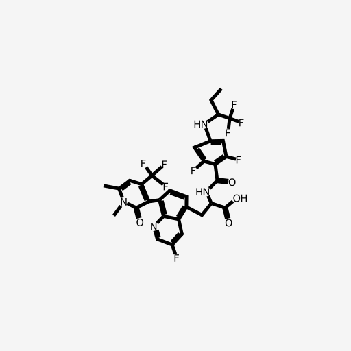 CCC(Nc1cc(F)c(C(=O)NC(Cc2ccc(-c3c(C(F)(F)F)cc(C)n(C)c3=O)c3ncc(F)cc23)C(=O)O)c(F)c1)C(F)(F)F